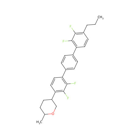 CCCc1ccc(-c2ccc(-c3ccc(C4CCC(C)OC4)c(F)c3F)cc2)c(F)c1F